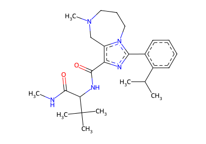 CNC(=O)C(NC(=O)c1nc(-c2ccccc2C(C)C)n2c1CN(C)CCC2)C(C)(C)C